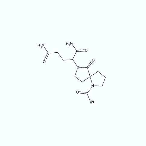 CC(C)C(=O)N1CCCC12CCN(C(CCC(N)=O)C(N)=O)C2=O